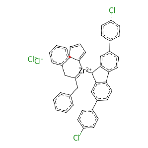 Clc1ccc(-c2ccc3c(c2)[CH]([Zr+2]([C]2=CC=CC2)=[C](Cc2ccccc2)Cc2ccccc2)c2cc(-c4ccc(Cl)cc4)ccc2-3)cc1.[Cl-].[Cl-]